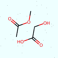 COC(C)=O.O=C(O)CO